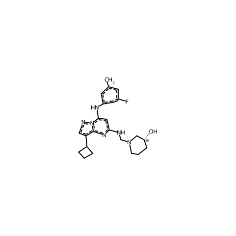 Cc1cc(F)cc(Nc2cc(NCN3CCC[C@@H](O)C3)nc3c(C4CCC4)cnn23)c1